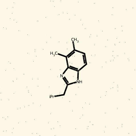 Cc1ccc2[nH]c(CC(C)C)nc2c1C